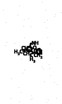 CC(C)(C)c1cc(C=N)c(Oc2ccccc2)c(C(C)(C)C)c1